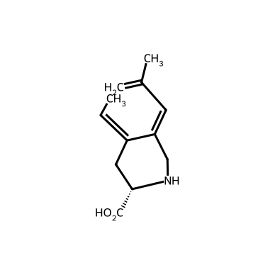 C=C(C)/C=C1/CN[C@H](C(=O)O)C/C1=C/C